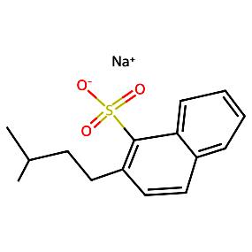 CC(C)CCc1ccc2ccccc2c1S(=O)(=O)[O-].[Na+]